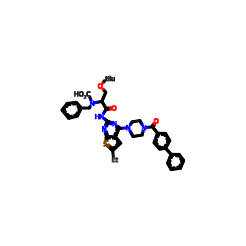 CCc1cc2c(N3CCN(C(=O)c4ccc(-c5ccccc5)cc4)CC3)nc(NC(=O)C(COC(C)(C)C)N(Cc3ccccc3)C(=O)O)nc2s1